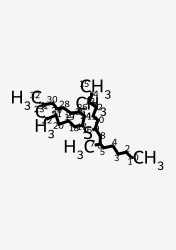 CCCCCCC(C)CC(CCCCCC)SC(CCCCCC)CC(C)CCCCCC